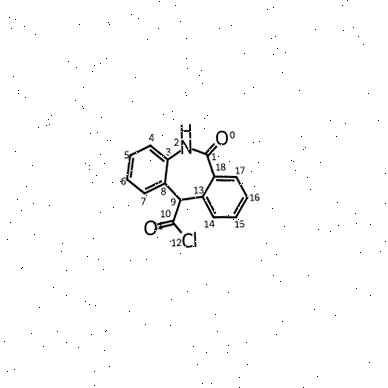 O=C1Nc2ccccc2C(C(=O)Cl)c2ccccc21